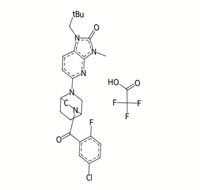 Cn1c(=O)n(CC(C)(C)C)c2ccc(N3CC4CCC3CN4C(=O)c3cc(Cl)ccc3F)nc21.O=C(O)C(F)(F)F